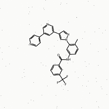 Cc1ccc(NC(=O)c2cccc(C(F)(F)F)c2)cc1-n1cc(-c2cncc(-c3ccncc3)c2)cn1